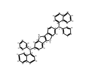 c1ccc(N(c2ccc3c(c2)oc2c4ccc(N(c5ccccc5)c5cccc6ccccc56)cc4oc32)c2cccc3ccccc23)cc1